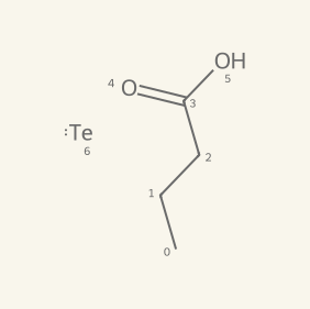 CCCC(=O)O.[Te]